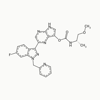 COC[C@H](C)NC(=O)Oc1c[nH]c2ncc(-c3nn(Cc4ccccn4)c4cc(F)ccc34)nc12